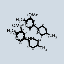 COc1cc(C2=NCC(C)CC2)cnc1C.COc1cc(C2CCC(C)CN2)cnc1C